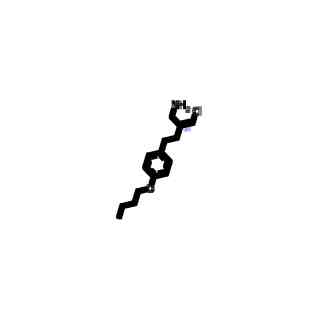 CCCCOc1ccc(CC/C(=C/Cl)CN)cc1